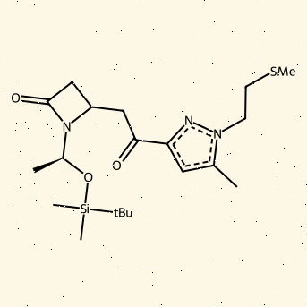 CSCCn1nc(C(=O)CC2CC(=O)N2[C@H](C)O[Si](C)(C)C(C)(C)C)cc1C